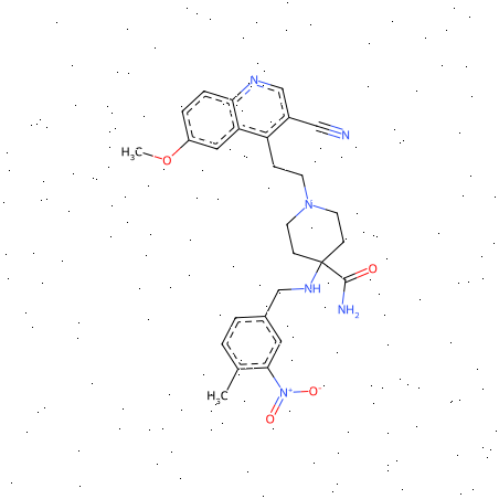 COc1ccc2ncc(C#N)c(CCN3CCC(NCc4ccc(C)c([N+](=O)[O-])c4)(C(N)=O)CC3)c2c1